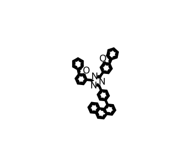 c1ccc2c(c1)ccc1cccc(-c3ccc(-c4nc(-c5ccc6c(c5)oc5ccccc56)nc(-c5cccc6c5oc5ccccc56)n4)cc3)c12